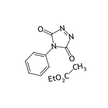 CCOC(C)=O.O=C1N=NC(=O)N1c1ccccc1